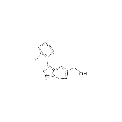 Cc1ccccc1-c1csc2ccc(CO)cc12